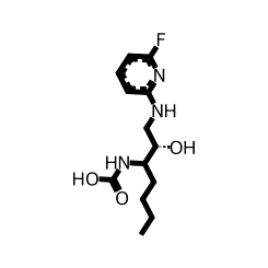 CCCCC(NC(=O)O)[C@@H](O)CNc1cccc(F)n1